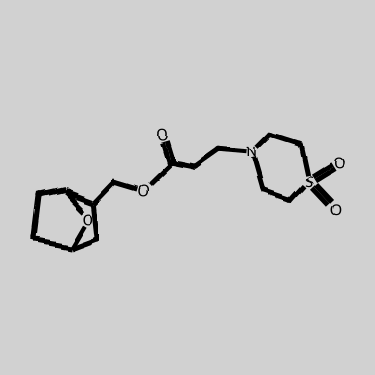 O=C(CCN1CCS(=O)(=O)CC1)OCC1CC2CCC1O2